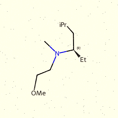 CC[C@H](CC(C)C)N(C)CCOC